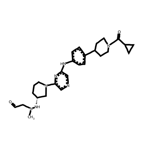 CN(CC=O)N[C@@H]1CCCN(c2cncc(Nc3ccc(C4CCN(C(=O)C5CC5)CC4)cc3)n2)C1